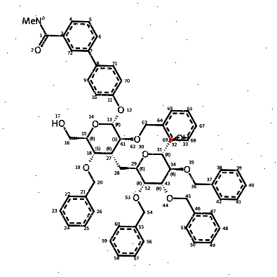 CNC(=O)c1cccc(-c2ccc(O[C@H]3O[C@H](CO)[C@@H](OCc4ccccc4)[C@@H](C[C@H]4O[C@H](CO)[C@@H](OCc5ccccc5)[C@H](OCc5ccccc5)[C@@H]4OCc4ccccc4)[C@@H]3OCc3ccccc3)cc2)c1